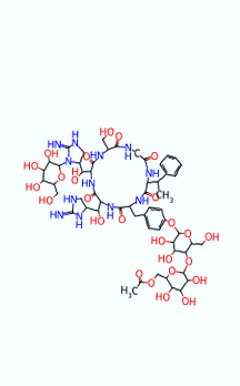 CC(=O)OCC1OC(OC2C(CO)OC(Oc3ccc(CC4NC(=O)C(C(C)c5ccccc5)NC(=O)CNC(=O)C(CO)NC(=O)C(C(O)C5CNC(=N)N5C5OC(CO)C(O)C(O)C5O)NC(=O)C(C(O)C5CNC(=N)N5)NC4=O)cc3)C(O)C2O)C(O)C(O)C1O